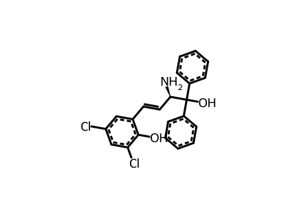 N[C@H](C=Cc1cc(Cl)cc(Cl)c1O)C(O)(c1ccccc1)c1ccccc1